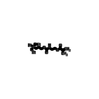 C=C(C)C(=O)OCCNC(=O)OCCC[Si](CC)(OCC)OCC